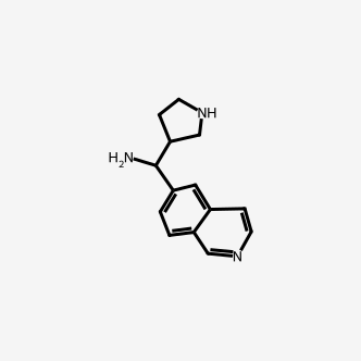 NC(c1ccc2cnccc2c1)C1CCNC1